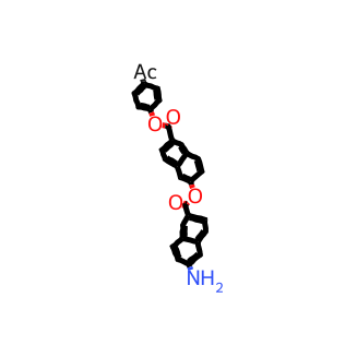 CC(=O)c1ccc(OC(=O)c2ccc3cc(OC(=O)c4ccc5cc(N)ccc5c4)ccc3c2)cc1